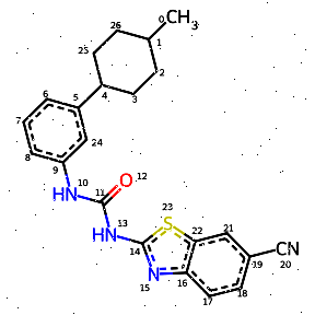 CC1CCC(c2cccc(NC(=O)Nc3nc4ccc(C#N)cc4s3)c2)CC1